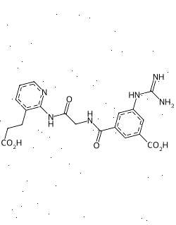 N=C(N)Nc1cc(C(=O)O)cc(C(=O)NCC(=O)Nc2ncccc2CCC(=O)O)c1